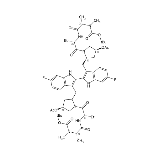 CC[C@H](NC(=O)[C@H](C)N(C)C(=O)OC(C)(C)C)C(=O)N1C[C@@H](OC(C)=O)CC1Cc1c(-c2[nH]c3cc(F)ccc3c2C[C@@H]2C[C@H](OC(C)=O)CN2C(=O)[C@H](CC)NC(=O)[C@H](C)N(C)C(=O)OC(C)(C)C)[nH]c2cc(F)ccc12